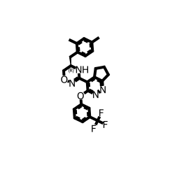 Cc1ccc(C[C@@H]2CON=C(c3c(Oc4cccc(C(F)(F)F)c4)nnc4c3CCC4)N2)c(C)c1